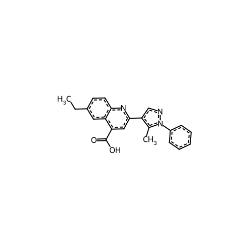 CCc1ccc2nc(-c3cnn(-c4ccccc4)c3C)cc(C(=O)O)c2c1